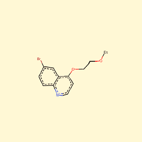 CCOCCOc1ccnc2ccc(Br)cc12